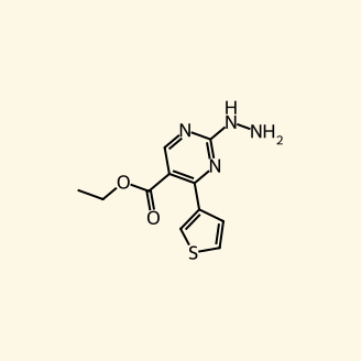 CCOC(=O)c1cnc(NN)nc1-c1ccsc1